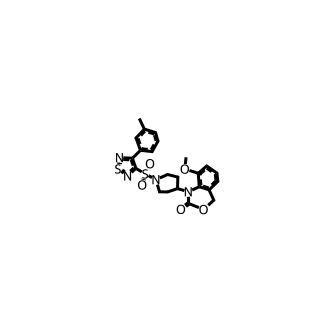 COc1cccc2c1N(C1CCN(S(=O)(=O)c3nsnc3-c3cccc(C)c3)CC1)C(=O)OC2